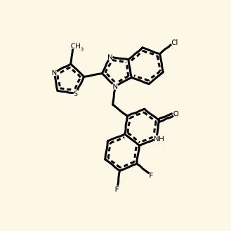 Cc1ncsc1-c1nc2cc(Cl)ccc2n1Cc1cc(=O)[nH]c2c(F)c(F)ccc12